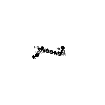 Cc1ncsc1-c1ccc(CNC(=O)[C@@H]2C[C@@H](O)CN2C(=O)[C@@H](NC(=O)N2CCC(N3CCC(c4cnc(N5CCc6[nH]c7nnc(-c8ccccc8O)cc7c6C5C)nc4)CC3)CC2)C(C)(C)C)cc1